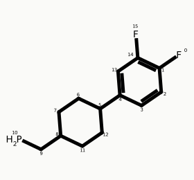 Fc1ccc(C2CCC(CP)CC2)cc1F